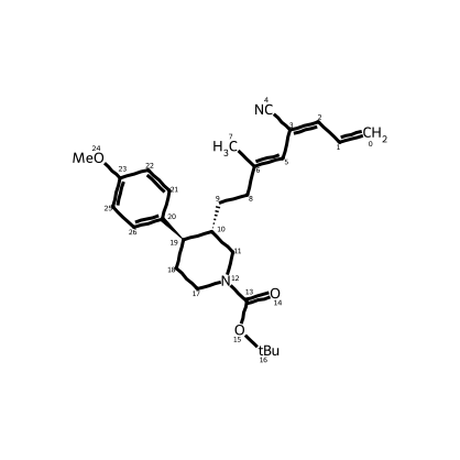 C=C/C=C(C#N)\C=C(/C)CC[C@@H]1CN(C(=O)OC(C)(C)C)CC[C@H]1c1ccc(OC)cc1